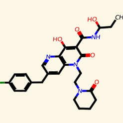 CCC(O)NC(=O)c1c(O)c2ncc(Cc3ccc(F)cc3)cc2n(CCN2CCCCC2=O)c1=O